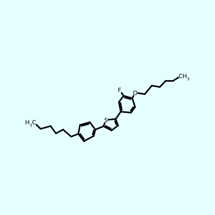 CCCCCCOc1ccc(-c2ccc(-c3ccc(CCCCCC)cc3)s2)cc1F